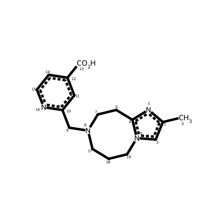 Cc1cn2c(n1)CCN(Cc1cc(C(=O)O)ccn1)CCC2